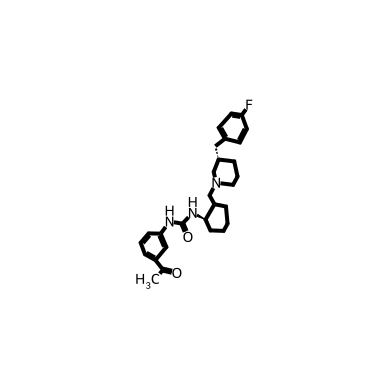 CC(=O)c1cccc(NC(=O)N[C@@H]2CCCCC2CN2CCC[C@@H](Cc3ccc(F)cc3)C2)c1